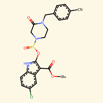 CC(C)(C)OC(=O)c1c(OS(=O)N2CCN(Cc3ccc(C#N)cc3)C(=O)C2)[nH]c2ccc(Cl)cc12